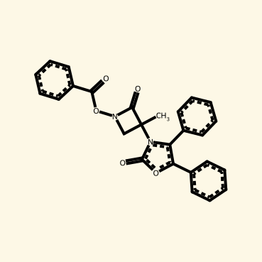 CC1(n2c(-c3ccccc3)c(-c3ccccc3)oc2=O)CN(OC(=O)c2ccccc2)C1=O